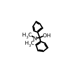 CN(C)C(O)(c1ccccc1)c1ccccc1